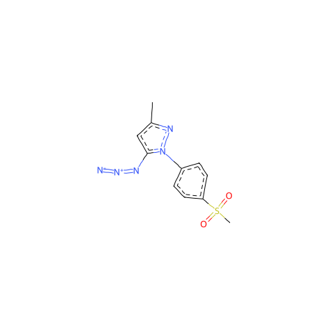 Cc1cc(N=[N+]=[N-])n(-c2ccc(S(C)(=O)=O)cc2)n1